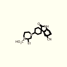 CCC1CN(C2CCC3(CC2)C(=O)Nc2ccc(C#N)cc23)CCCN1C(=O)O